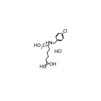 Cl.O=C(O)C(CCCCB(O)O)NCc1ccc(Cl)cc1